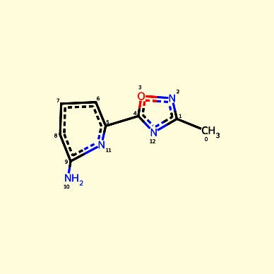 Cc1noc(-c2cccc(N)n2)n1